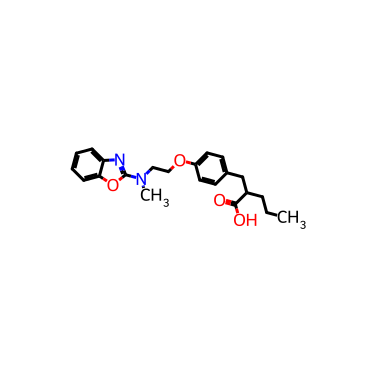 CCCC(Cc1ccc(OCCN(C)c2nc3ccccc3o2)cc1)C(=O)O